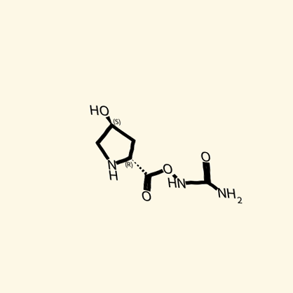 NC(=O)NOC(=O)[C@H]1C[C@H](O)CN1